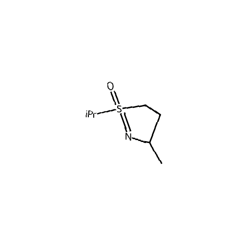 CC1CCS(=O)(C(C)C)=N1